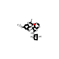 C[C@](C(=O)N[C@@H]1C[C@H]2CC[C@@H]1O2)(c1cncnc1)N(C(=O)[C@H](F)Cl)c1ccc(OC(F)(F)F)cc1F